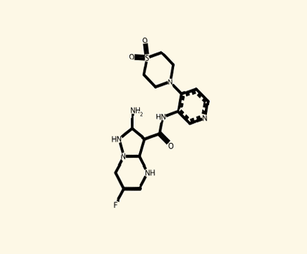 NC1NN2CC(F)CNC2C1C(=O)Nc1cnccc1N1CCS(=O)(=O)CC1